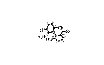 NCc1c(Cl)ccc(Cl)c1-c1c(S)cccc1C=O